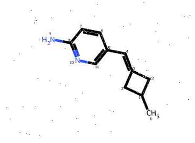 CC1CC(=Cc2ccc(N)nc2)C1